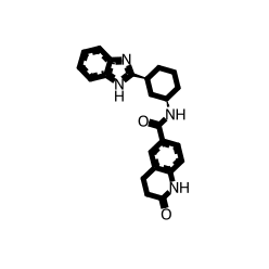 O=C1CCc2cc(C(=O)N[C@H]3CCC[C@H](c4nc5ccccc5[nH]4)C3)ccc2N1